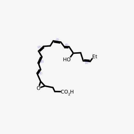 CC/C=C\CC(O)/C=C/C=C\C\C=C/C=C/C=C/C1OC1CCC(=O)O